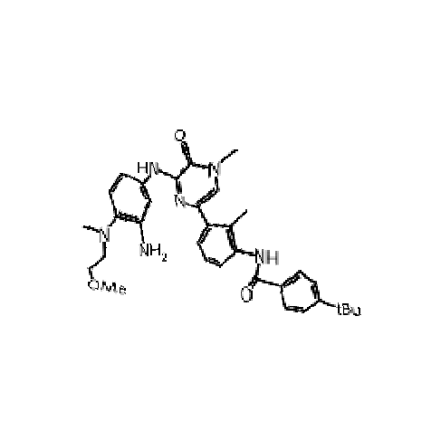 COCCN(C)c1ccc(Nc2nc(-c3cccc(NC(=O)c4ccc(C(C)(C)C)cc4)c3C)cn(C)c2=O)cc1N